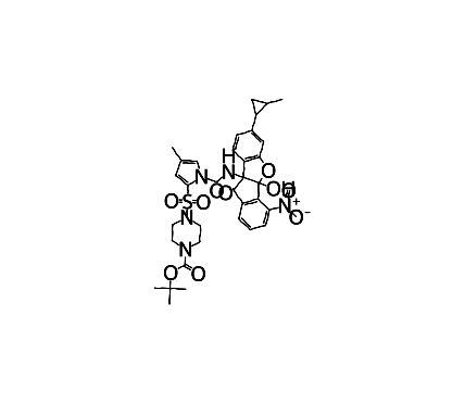 Cc1cc(S(=O)(=O)N2CCN(C(=O)OC(C)(C)C)CC2)n(C(=O)NC23C(=O)c4cccc([N+](=O)[O-])c4C2(O)Oc2cc(C4CC4C)ccc23)c1